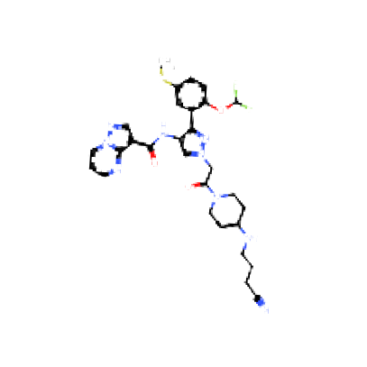 CSc1ccc(OC(F)F)c(-c2nn(CC(=O)N3CCC(NCCCC#N)CC3)cc2NC(=O)c2cnn3cccnc23)c1